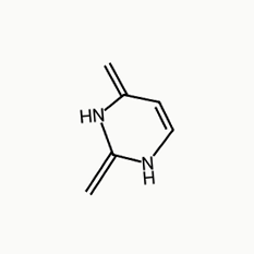 C=C1C=CNC(=C)N1